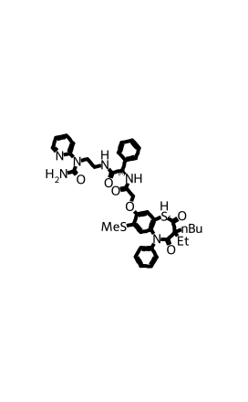 CCCCC1(CC)C(=O)[SH]c2cc(OCC(=O)N[C@@H](C(=O)NCCN(C(N)=O)c3ccccn3)c3ccccc3)c(SC)cc2N(c2ccccc2)C1=O